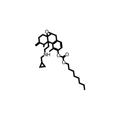 C=C1CCC23OC2Cc2ccc(OC(=O)OCCCCCCCC)c(C)c2C3(CCNCC2CC2)C1C